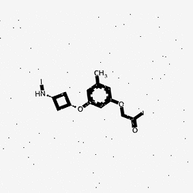 Cc1cc(OCC(=O)I)cc(O[C@H]2C[C@@H](NI)C2)c1